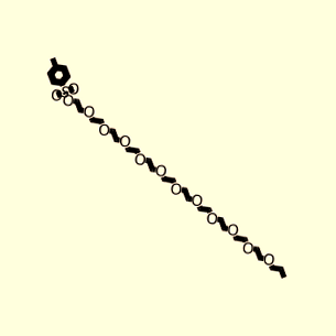 CCCOCCOCCOCCOCCOCCOCCOCCOCCOCCOCCOCCOS(=O)(=O)c1ccc(C)cc1